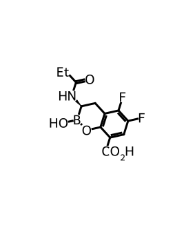 CCC(=O)N[C@H]1Cc2c(F)c(F)cc(C(=O)O)c2OB1O